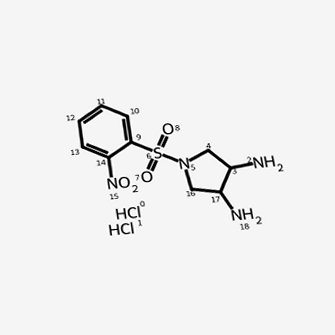 Cl.Cl.NC1CN(S(=O)(=O)c2ccccc2[N+](=O)[O-])CC1N